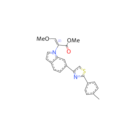 CO/C=C(/C(=O)OC)n1ccc2ccc(-c3csc(-c4ccc(C)cc4)n3)cc21